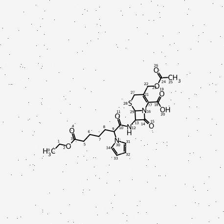 CCOC(=O)CCCCC(C(=O)NC1C(=O)N2C(C(=O)O)=C(COC(C)=O)CSC12)n1cccc1